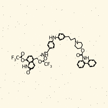 O=C(Nc1ccccc1-c1ccccc1)OC1CCN(CCCc2ccc(Nc3ccc(CCNC[C@H](OC(=O)C(F)(F)F)c4ccc(OC(=O)C(F)(F)F)c5[nH]c(=O)ccc45)cc3)cc2)CC1